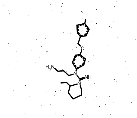 CCC1CCCCN1C(=N)N(CCCN)c1ccc(OCc2ccc(C)cc2)cc1